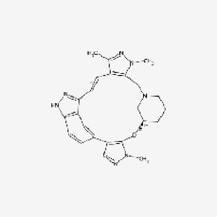 Cc1nn(C)c2c1/C=C/c1n[nH]c3ccc(cc13)-c1cnn(C)c1O[C@H]1CCCN(C2)C1